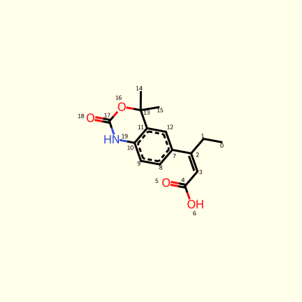 CC/C(=C/C(=O)O)c1ccc2c(c1)C(C)(C)OC(=O)N2